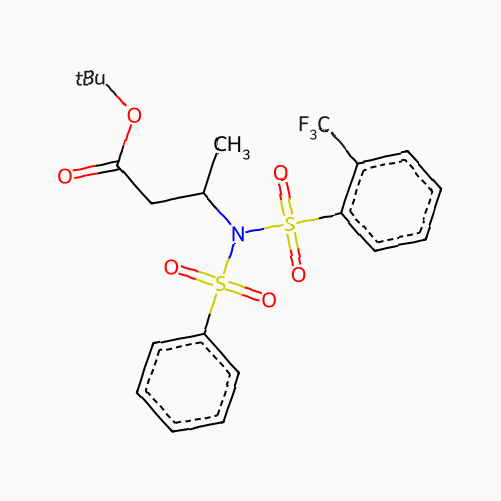 CC(CC(=O)OC(C)(C)C)N(S(=O)(=O)c1ccccc1)S(=O)(=O)c1ccccc1C(F)(F)F